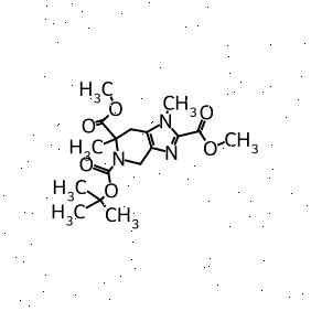 COC(=O)c1nc2c(n1C)CC(C)(C(=O)OC)N(C(=O)OC(C)(C)C)C2